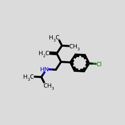 C=C(C(C)C)C(CNC(C)C)c1ccc(Cl)cc1